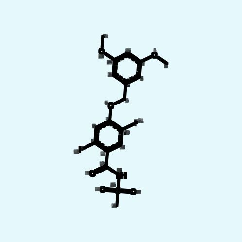 COc1cc(COc2cc(F)c(C(=O)NS(C)(=O)=O)cc2F)cc(OC)c1